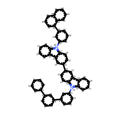 c1ccc(-c2cccc(-c3cccc(-n4c5ccccc5c5cc(-c6ccc7c(c6)c6ccccc6n7-c6cccc(-c7cccc8ccccc78)c6)ccc54)c3)c2)cc1